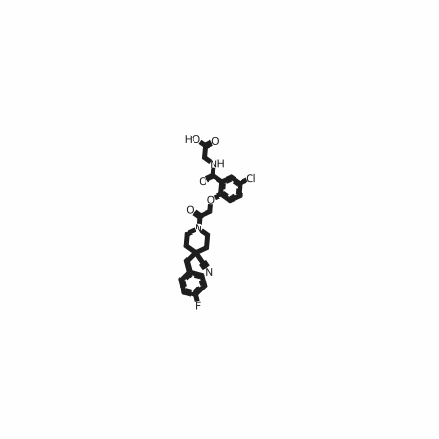 N#CC1(Cc2ccc(F)cc2)CCN(C(=O)COc2ccc(Cl)cc2C(=O)NCC(=O)O)CC1